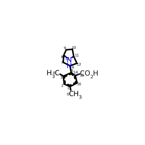 Cc1cc(C)c(C2CC3CCC(C2)N3)c(C(=O)O)c1